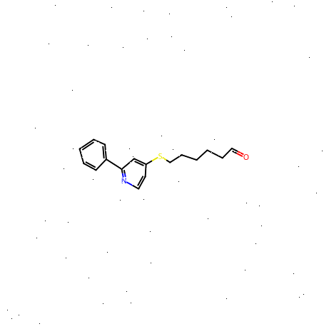 O=CCCCCCSc1ccnc(-c2ccccc2)c1